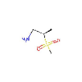 C[C@H](CN)S(C)(=O)=O